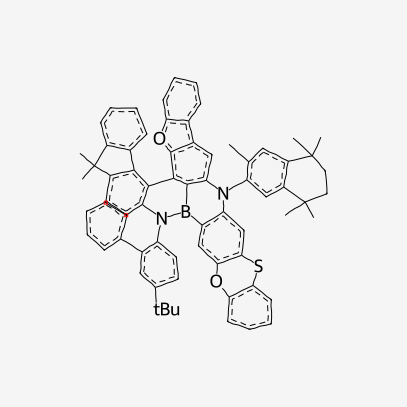 Cc1cc2c(cc1N1c3cc4c(cc3B3c5c1cc1c(oc6ccccc61)c5-c1c(ccc5c1-c1ccccc1C5(C)C)N3c1ccc(C(C)(C)C)cc1-c1ccccc1)Oc1ccccc1S4)C(C)(C)CCC2(C)C